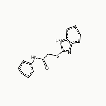 O=C(CSc1nc2ccccc2[nH]1)Nc1ccccc1